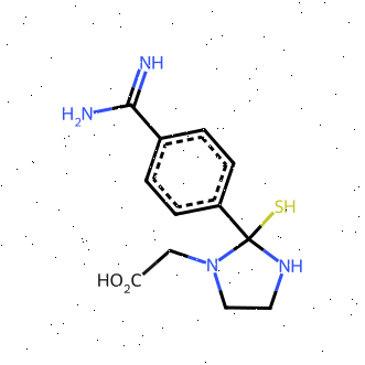 N=C(N)c1ccc(C2(S)NCCN2CC(=O)O)cc1